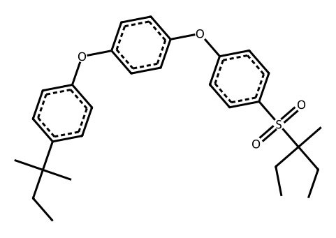 CCC(C)(C)c1ccc(Oc2ccc(Oc3ccc(S(=O)(=O)C(C)(CC)CC)cc3)cc2)cc1